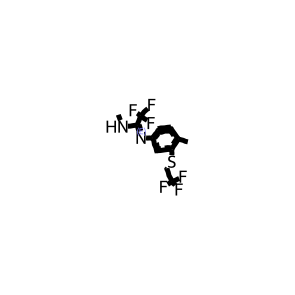 CN/C(=N/c1c#cc(C)c(SCC(F)(F)F)c1)C(F)(F)F